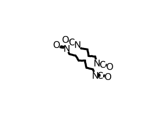 O=C=NCCCCCCN=C=O.O=C=NCCCCN=C=O